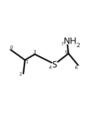 CC(C)CSC(C)N